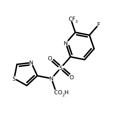 O=C(O)N(c1cscn1)S(=O)(=O)c1ccc(F)c(C(F)(F)F)n1